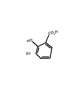 O=C(O)c1ccccc1O.[Eu]